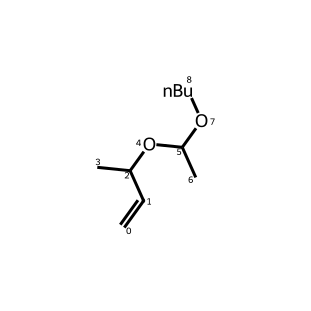 C=CC(C)OC(C)OCCCC